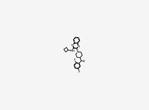 Fc1ccc(F)c(C(F)C2CCN(c3nc4ccccc4nc3NC3CCC3)CC2)c1